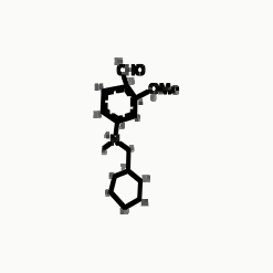 COc1cc(N(C)CC2CCCCC2)ccc1C=O